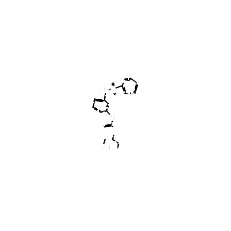 NC[C@@H](CC=O)NC(=O)Nc1cccc(NS(=O)(=O)c2ccccc2)c1